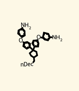 CCCCCCCCCCCC1CCC(c2ccc(Oc3ccc(N)cc3)cc2)(c2ccc(Oc3ccc(N)cc3)cc2)CC1